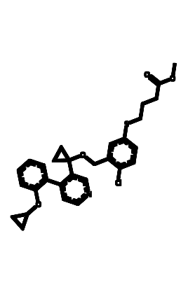 COC(=O)CCCSc1ccc(Cl)c(COC2(c3cnccc3-c3ccccc3OC3CC3)CC2)c1